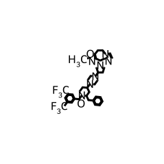 Cc1nc2c(o1)CCn1ccnc1C2N1CCC(N2CCN(C3CCN(C(=O)c4cc(C(F)(F)F)cc(C(F)(F)F)c4)C(Cc4ccccc4)C3)CC2)C1